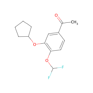 CC(=O)c1ccc(OC(F)F)c(OC2CCCC2)c1